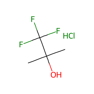 CC(C)(O)C(F)(F)F.Cl